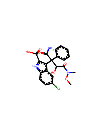 CON(C)C(=O)C(O)C(C(N)=O)(c1ccccc1)c1c(C(=O)O)[nH]c2ccc(Cl)cc12